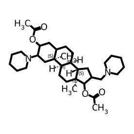 CC(=O)OC1CC2CC[C@@H]3[C@@H](CC[C@]4(C)C(OC(C)=O)C(CN5CCCCC5)C[C@@H]34)[C@@]2(C)CC1N1CCCCC1